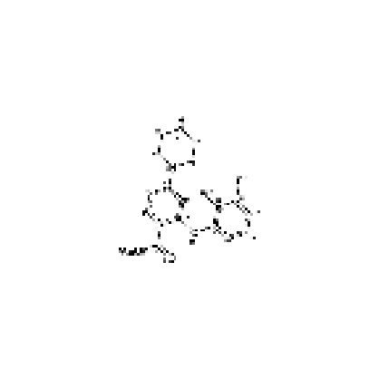 COC(=O)c1ccc(N2CCNCC2)cc1Oc1cccc(F)c1F